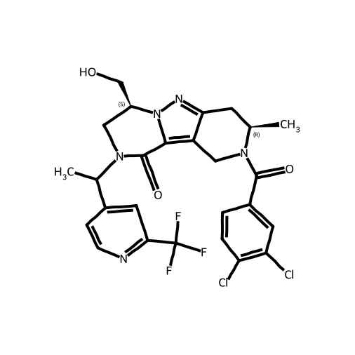 CC(c1ccnc(C(F)(F)F)c1)N1C[C@@H](CO)n2nc3c(c2C1=O)CN(C(=O)c1ccc(Cl)c(Cl)c1)[C@H](C)C3